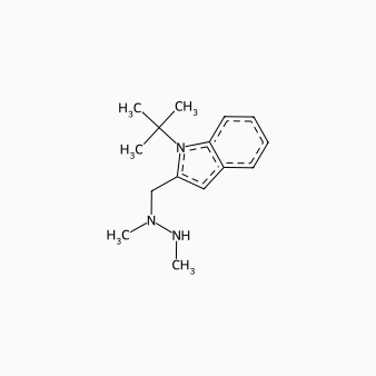 CNN(C)Cc1cc2ccccc2n1C(C)(C)C